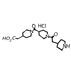 Cl.O=C(O)CC1CCN(C(=O)C2CCN(C(=O)CC3CCNCC3)CC2)CC1